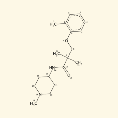 Cc1ccccc1OCC(C)(C)C(=O)NC1CCN(C)CC1